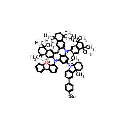 Cc1cc2c(cc1N1c3cc4c(cc3B3c5cc6c(cc5N(c5cccc7c5oc5ccccc57)c5cc(N7c8ccc(-c9ccc(C(C)(C)C)cc9)cc8C8(C)CCCCC78C)cc1c53)C(C)(C)CCC6(C)C)C(C)(C)CCC4(C)C)C(C)(C)CC2(C)C